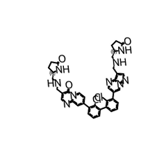 O=C1CC[C@H](CNCc2cnc3cc(-c4cccc(-c5cccc(-c6cnc7c(CNC[C@H]8CCC(=O)N8)cnn7c6)c5Cl)c4Cl)ccn3c2=O)N1